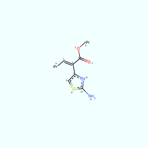 CCCOC(=O)/C(=C/C(C)C)c1csc(N)n1